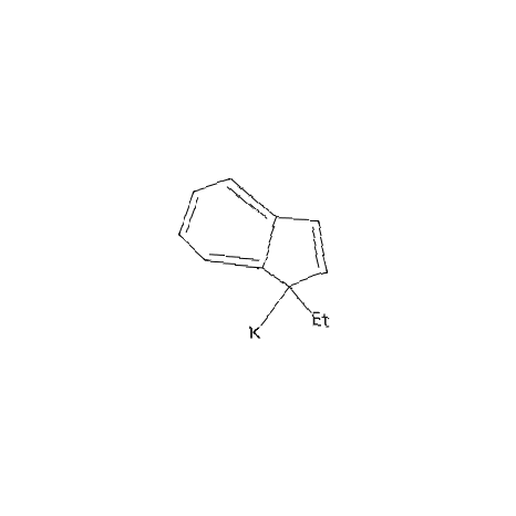 CC[C]1([K])C=Cc2ccccc21